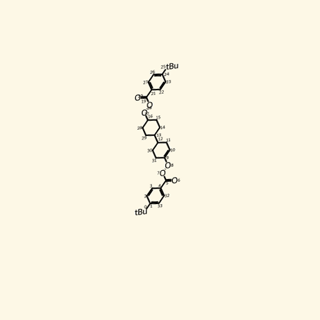 CC(C)(C)c1ccc(C(=O)OOC2=CCC(C3CCC(OOC(=O)c4ccc(C(C)(C)C)cc4)CC3)CC2)cc1